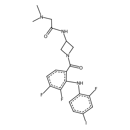 CN(C)CC(=O)NC1CN(C(=O)c2ccc(F)c(F)c2Nc2ccc(I)cc2F)C1